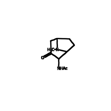 CC(=O)NC1C(=O)CC2CCC1N2C